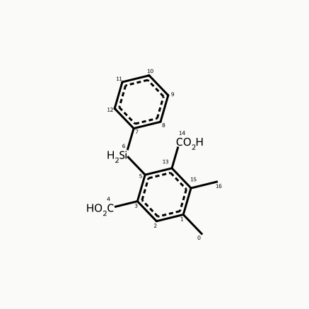 Cc1cc(C(=O)O)c([SiH2]c2ccccc2)c(C(=O)O)c1C